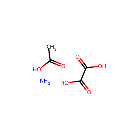 CC(=O)O.N.O=C(O)C(=O)O